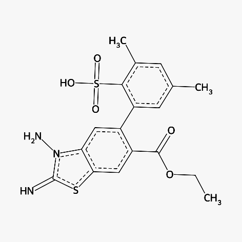 CCOC(=O)c1cc2sc(=N)n(N)c2cc1-c1cc(C)cc(C)c1S(=O)(=O)O